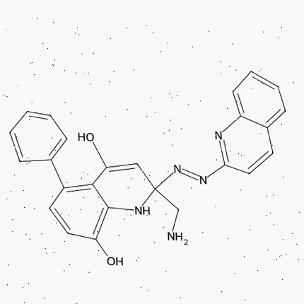 NCC1(N=Nc2ccc3ccccc3n2)C=C(O)c2c(-c3ccccc3)ccc(O)c2N1